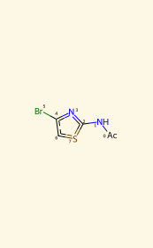 CC(=O)Nc1nc(Br)cs1